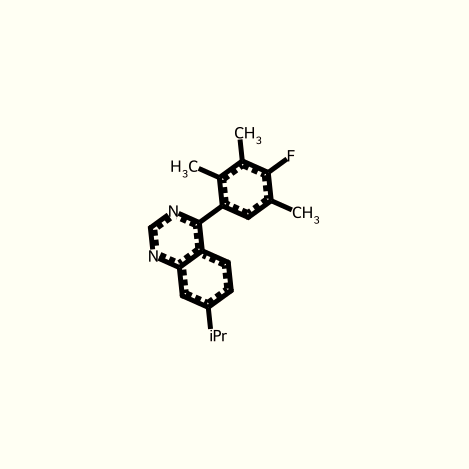 Cc1cc(-c2ncnc3cc(C(C)C)ccc23)c(C)c(C)c1F